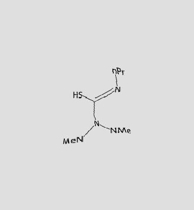 CCCN=C(S)N(NC)NC